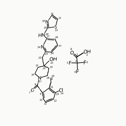 O=C(O)C(F)(F)F.O=C(c1cccc(Cl)c1F)N1CCC(O)(Cc2cccc(Nc3nccs3)n2)CC1